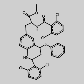 COC(=O)C(Cc1ccc2c(c1)C(Sc1ccccc1)CC(c1c(Cl)cccc1Cl)N2)NC(=O)c1c(Cl)cccc1Cl